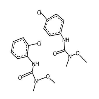 CON(C)C(=O)Nc1ccc(Cl)cc1.CON(C)C(=O)Nc1ccccc1Cl